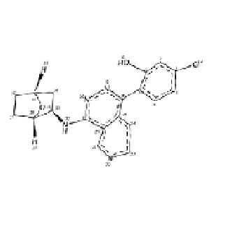 Oc1cc(Cl)ccc1-c1nnc(N[C@@H]2C[C@H]3CC[C@@H]2O3)c2cnccc12